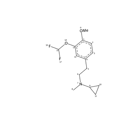 COc1ccc(CCN(C)C2CC2)cc1OC(F)F